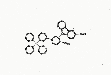 N#Cc1ccc2c(c1)c1ccccc1n2-c1cc(-c2cccc([Si](c3ccccc3)(c3ccccc3)c3ccccc3)c2)ccc1C#N